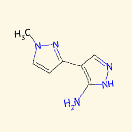 Cn1ccc(-c2cn[nH]c2N)n1